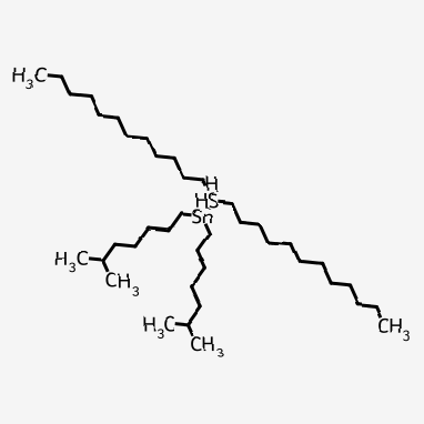 CCCCCCCCCCCC[SH](CCCCCCCCCCCC)[SnH]([CH2]CCCCC(C)C)[CH2]CCCCC(C)C